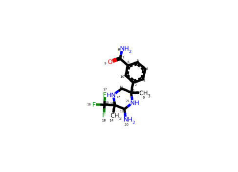 CC1(c2cccc(C(N)=O)c2)CNC(C)(C(F)(F)F)C(N)N1